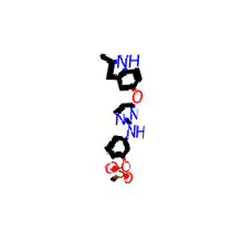 Cc1cc2cc(Oc3ccnc(Nc4cccc(OS(C)(=O)=O)c4)n3)ccc2[nH]1